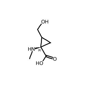 CN[C@]1(C(=O)O)CC1CO